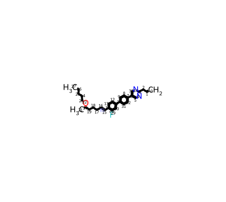 C=CCc1ncc(-c2ccc(-c3ccc(/C=C/CCCC(C)OCCCCC)c(F)c3)cc2)cn1